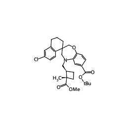 COC(=O)[C@@]1(C)CC[C@@H]1CN1CC2(CCCc3cc(Cl)ccc32)COc2ccc(C(=O)OC(C)(C)C)cc21